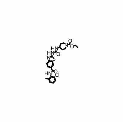 CCOC(=O)N1CCC(NC(=O)Nc2nc3ccc(C(=O)Nc4c(C)cccc4Cl)cc3s2)CC1